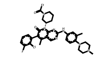 CCC(=O)N1CCC[C@H](n2c(=O)c(-c3cccc(F)c3Cl)c(C)c3cnc(Nc4ccc(N5CCN(C)CC5)c(C)c4)nc32)C1